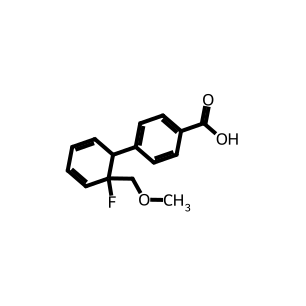 COCC1(F)C=CC=CC1c1ccc(C(=O)O)cc1